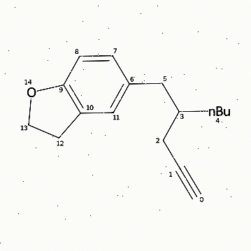 C#CCC(CCCC)Cc1ccc2c(c1)CCO2